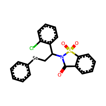 O=C1c2ccccc2S(=O)(=O)N1C(C[Se]c1ccccc1)c1ccccc1Cl